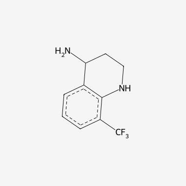 NC1CCNc2c1cccc2C(F)(F)F